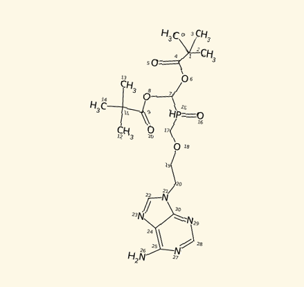 CC(C)(C)C(=O)OC(OC(=O)C(C)(C)C)[PH](=O)COCCn1cnc2c(N)ncnc21